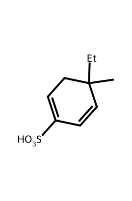 CCC1(C)C=CC(S(=O)(=O)O)=CC1